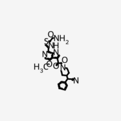 COc1cnc(-c2csc(C(N)=O)n2)c2[nH]cc(C(=O)C(=O)N3CCC(C(C#N)c4ccccc4)CC3)c12